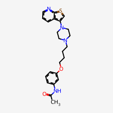 CC(=O)Nc1cccc(OCCCCN2CCN(c3csc4ncccc34)CC2)c1